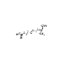 CSCN(C)CCCOCCCNC(C)C